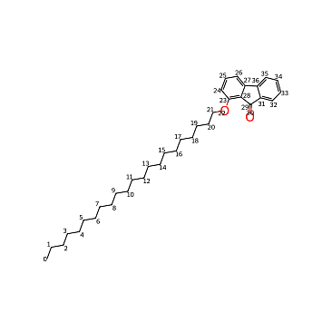 CCCCCCCCCCCCCCCCCCCCCCOc1cccc2c1C(=O)c1ccccc1-2